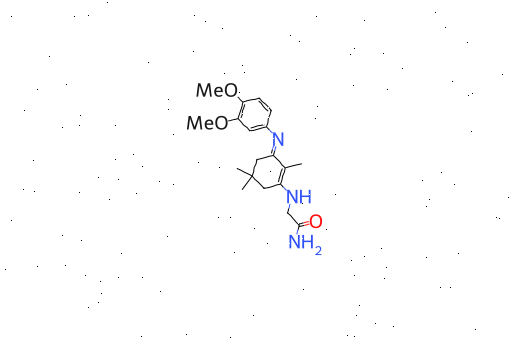 COc1ccc(N=C2CC(C)(C)CC(NCC(N)=O)=C2C)cc1OC